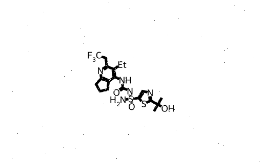 CCc1c(CC(F)(F)F)nc2c(c1NC(=O)N=S(N)(=O)c1cnc(C(C)(C)O)s1)CCC2